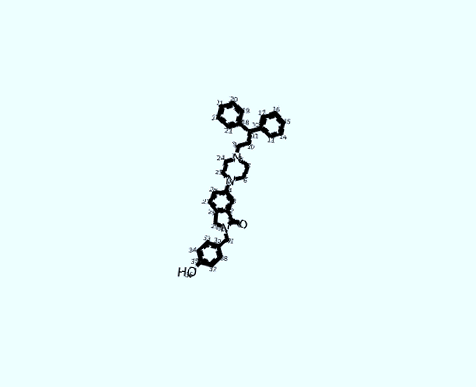 O=C1c2cc(N3CCN(CCC(c4ccccc4)c4ccccc4)CC3)ccc2CN1Cc1ccc(O)cc1